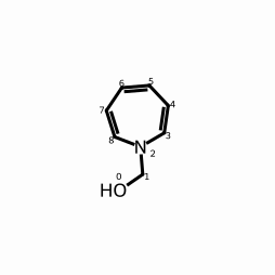 OCN1C=CC=CC=C1